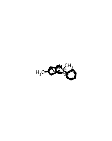 CC1=C2C3=C[N+](C)(c4ccccc4)C=C3C1[Si]2(C)C